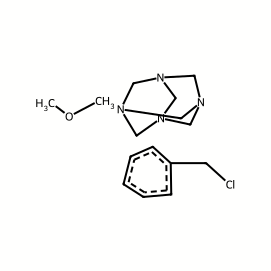 C1N2CN3CN1CN(C2)C3.COC.ClCc1ccccc1